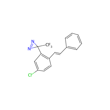 FC(F)(F)C1(c2cc(Cl)ccc2/C=C/c2ccccc2)N=N1